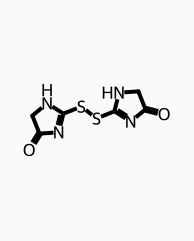 O=C1CNC(SSC2=NC(=O)CN2)=N1